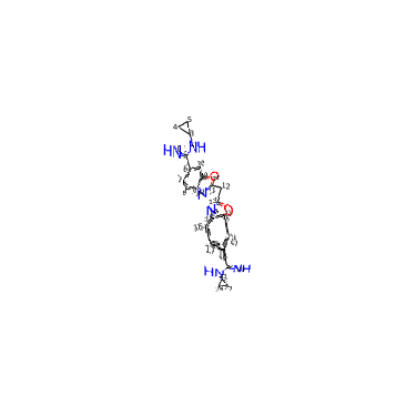 N=C(NC1CC1)c1ccc2nc(Cc3nc4ccc(C(=N)NC5CC5)cc4o3)oc2c1